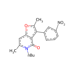 CCCCn1c(C)cc2oc(C)c(-c3cccc([N+](=O)[O-])c3)c2c1=O